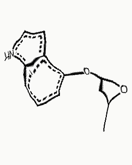 CC1OC1Oc1cccc2[nH]ccc12